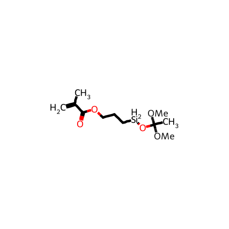 C=C(C)C(=O)OCCC[SiH2]OC(C)(OC)OC